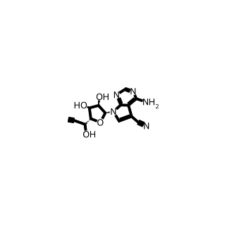 C#CC(O)[C@H]1O[C@@H](n2cc(C#N)c3c(N)ncnc32)[C@H](O)[C@@H]1O